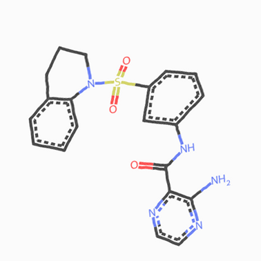 Nc1nccnc1C(=O)Nc1cccc(S(=O)(=O)N2CCCc3ccccc32)c1